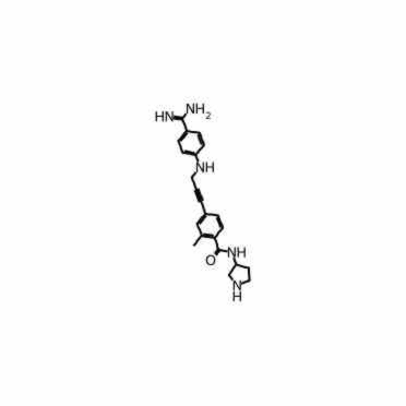 Cc1cc(C#CCNc2ccc(C(=N)N)cc2)ccc1C(=O)NC1CCNC1